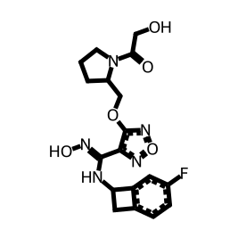 O=C(CO)N1CCCC1COc1nonc1/C(=N/O)NC1Cc2ccc(F)cc21